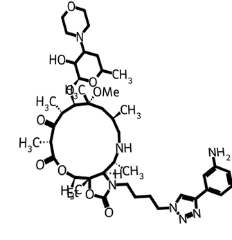 CC[C@H]1OC(=O)[C@H](C)C(=O)[C@H](C)[C@@H](O[C@@H]2OC(C)CC(N3CCOCC3)C2O)[C@](C)(OC)C[C@@H](C)CN[C@H](C)[C@H]2N(CCCCn3cc(-c4cccc(N)c4)nn3)C(=O)O[C@]12C